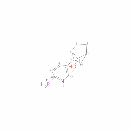 OC1C2CCC1C(c1ccc(P)nc1)C2